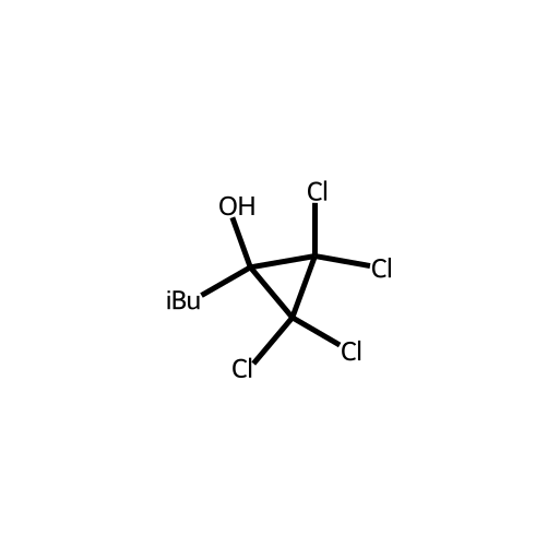 CCC(C)C1(O)C(Cl)(Cl)C1(Cl)Cl